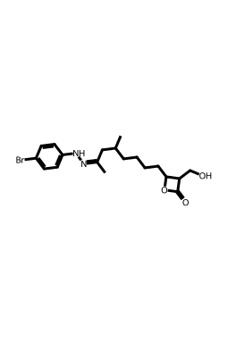 CC(CC(C)CCCCC1OC(=O)C1CO)=NNc1ccc(Br)cc1